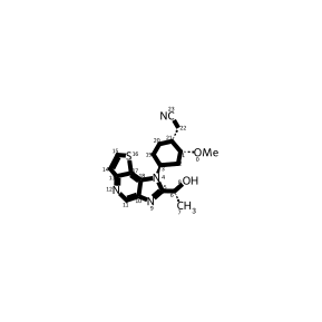 CO[C@@H]1C[C@@H](n2c([C@@H](C)O)nc3cnc4ccsc4c32)CC[C@@H]1CC#N